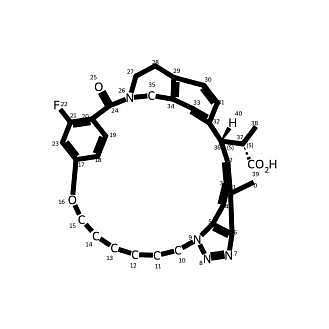 Cc1c2ccc3c1nnn3CCCCCCOc1ccc(c(F)c1)C(=O)N1CCc3ccc(cc3C1)[C@@H]2[C@H](C)C(=O)O